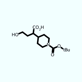 CC(C)(C)OC(=O)N1CCC(C(CCO)C(=O)O)CC1